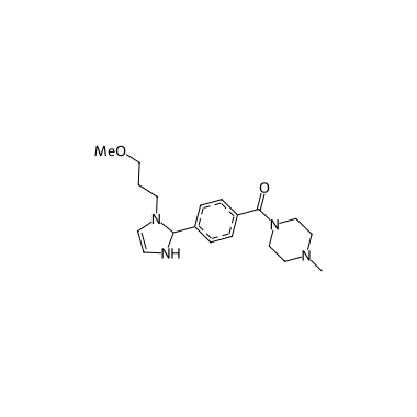 COCCCN1C=CNC1c1ccc(C(=O)N2CCN(C)CC2)cc1